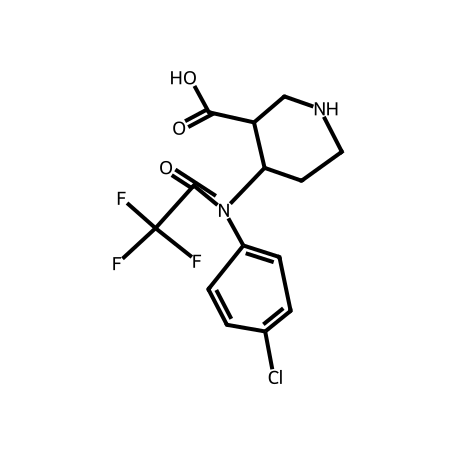 O=C(O)C1CNCCC1N(C(=O)C(F)(F)F)c1ccc(Cl)cc1